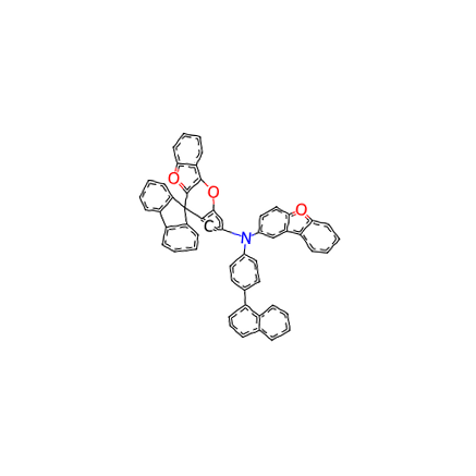 c1ccc2c(c1)-c1ccccc1C21c2ccc(N(c3ccc(-c4cccc5ccccc45)cc3)c3ccc4oc5ccccc5c4c3)cc2Oc2c1oc1ccccc21